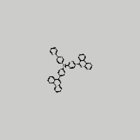 c1ccc(-c2ccc(N(c3ccc(-c4cc5ccccc5c5ccccc45)cc3)c3ccc(-c4cc5ccccc5c5ccccc45)cc3)cc2)cc1